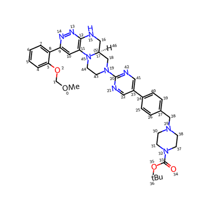 COCOc1ccccc1-c1cc2c(nn1)NC[C@H]1CN(c3ncc(-c4ccc(CN5CCN(C(=O)OC(C)(C)C)CC5)cc4)cn3)CCN21